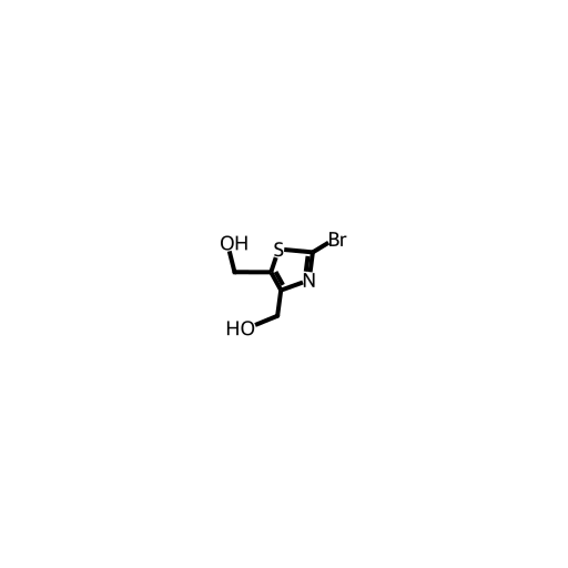 OCc1nc(Br)sc1CO